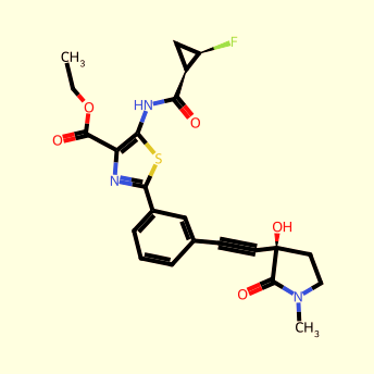 CCOC(=O)c1nc(-c2cccc(C#C[C@]3(O)CCN(C)C3=O)c2)sc1NC(=O)[C@H]1C[C@H]1F